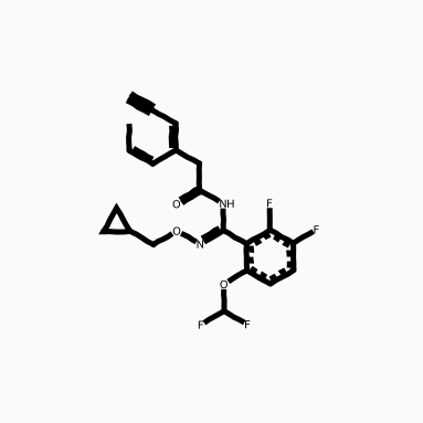 C#C/C=C(\C=C/C)CC(=O)N/C(=N\OCC1CC1)c1c(OC(F)F)ccc(F)c1F